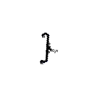 CC/C=C\C/C=C\C/C=C\CCCCCCCC(=O)OCCN(CCOC(=O)CCCCCCC/C=C\C/C=C\C/C=C\CC)C(=O)CCC(=O)O